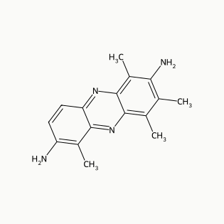 Cc1c(N)c(C)c2nc3ccc(N)c(C)c3nc2c1C